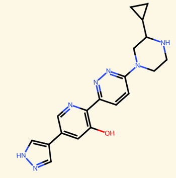 Oc1cc(-c2cn[nH]c2)cnc1-c1ccc(N2CCNC(C3CC3)C2)nn1